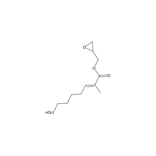 CCCCCCCCCCCCC=C(C)C(=O)OCC1CO1